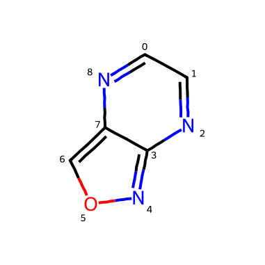 c1cnc2nocc2n1